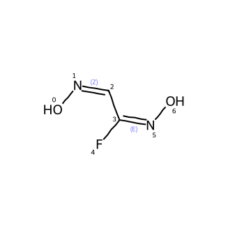 O/N=C\C(F)=N/O